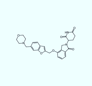 O=C1CCC(N2Cc3c(OCc4cc5ccc(CN6CCOCC6)cc5o4)cccc3C2=O)C(=O)N1